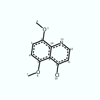 COc1ccc(OC)c2c(Cl)ccnc12